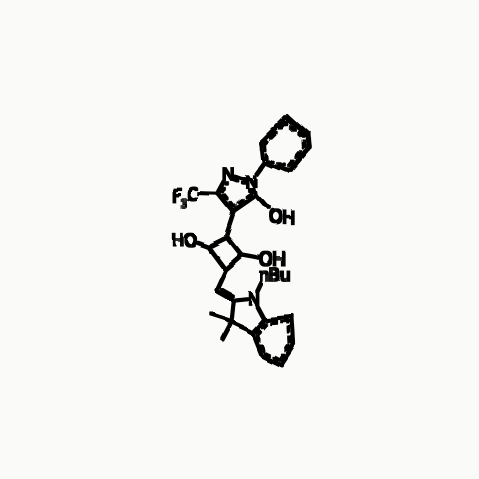 CCCCN1C(=CC2C(O)C(c3c(C(F)(F)F)nn(-c4ccccc4)c3O)C2O)C(C)(C)c2ccccc21